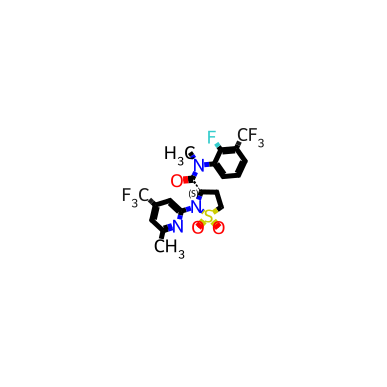 Cc1cc(C(F)(F)F)cc(N2[C@H](C(=O)N(C)c3cccc(C(F)(F)F)c3F)CCS2(=O)=O)n1